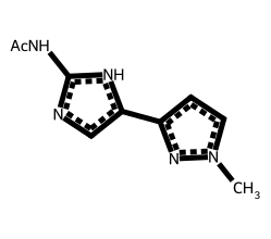 CC(=O)Nc1ncc(-c2ccn(C)n2)[nH]1